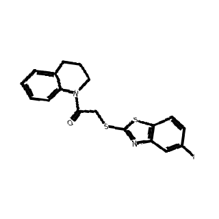 O=C(CSc1nc2cc(I)ccc2s1)N1CCCc2ccccc21